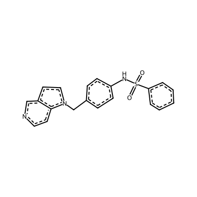 O=S(=O)(Nc1ccc(Cn2ccc3cnccc32)cc1)c1ccccc1